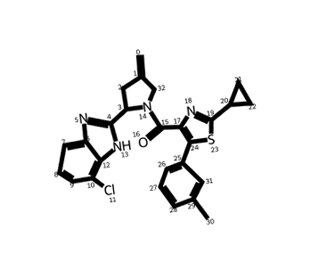 C=C1CC(c2nc3cccc(Cl)c3[nH]2)N(C(=O)c2nc(C3CC3)sc2-c2cccc(C)c2)C1